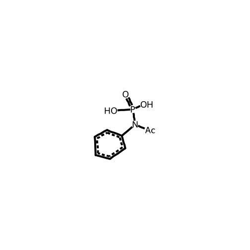 CC(=O)N(c1ccccc1)P(=O)(O)O